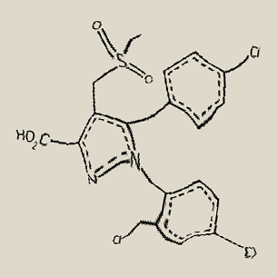 CS(=O)(=O)Cc1c(C(=O)O)nn(-c2ccc(Cl)cc2Cl)c1-c1ccc(Cl)cc1